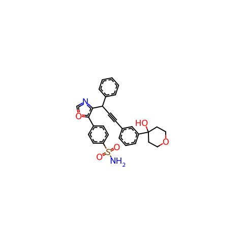 NS(=O)(=O)c1ccc(-c2ocnc2C(C#Cc2cccc(C3(O)CCOCC3)c2)c2ccccc2)cc1